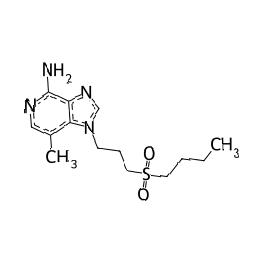 CCCCS(=O)(=O)CCCn1cnc2c(N)ncc(C)c21